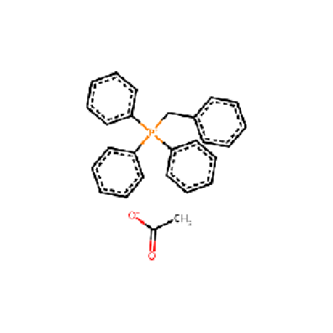 CC(=O)[O-].c1ccc(C[P+](c2ccccc2)(c2ccccc2)c2ccccc2)cc1